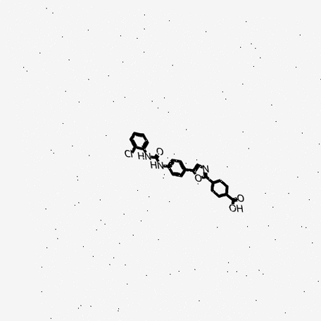 O=C(Nc1ccc(-c2cnc(C3CCC(C(=O)O)CC3)o2)cc1)Nc1ccccc1Cl